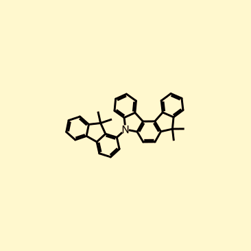 CC1(C)c2ccccc2-c2c1ccc1c2c2ccccc2n1-c1cccc2c1C(C)(C)c1ccccc1-2